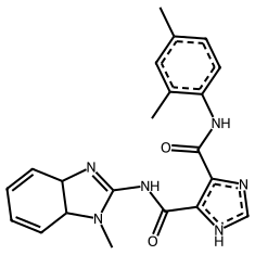 Cc1ccc(NC(=O)c2nc[nH]c2C(=O)NC2=NC3C=CC=CC3N2C)c(C)c1